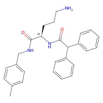 Cc1ccc(CNC(=O)[C@@H](CCCN)NC(=O)C(c2ccccc2)c2ccccc2)cc1